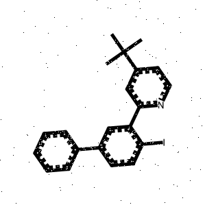 CC(C)(C)c1ccnc(-c2cc(-c3ccccc3)ccc2I)c1